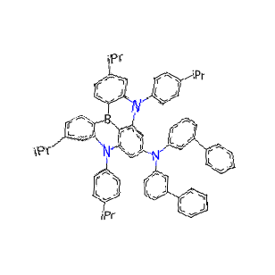 CC(C)c1ccc(N2c3cc(C(C)C)ccc3B3c4ccc(C(C)C)cc4N(c4ccc(C(C)C)cc4)c4cc(N(c5cccc(-c6ccccc6)c5)c5cccc(-c6ccccc6)c5)cc2c43)cc1